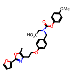 COc1ccc(OC(=O)N(CC(=O)O)Cc2ccc(OCCc3nc(-c4ccco4)oc3C)cc2)cc1